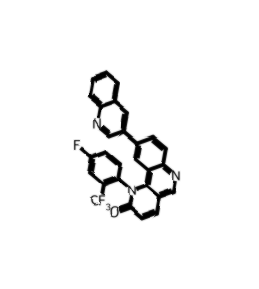 O=c1ccc2cnc3ccc(-c4cnc5ccccc5c4)cc3c2n1-c1ccc(F)cc1C(F)(F)F